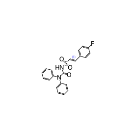 O=C(NS(=O)(=O)/C=C/c1ccc(F)cc1)N(c1ccccc1)c1ccccc1